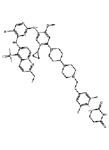 CCc1ccc2c(P(C)(C)=O)c(Nc3nc(Nc4cc(C5CC5)c(N5CCC(N6CCN(CCc7cc(F)c([C@H]8CCC(=O)NC8=O)c(F)c7)CC6)CC5)cc4OC)ncc3Br)ccc2n1